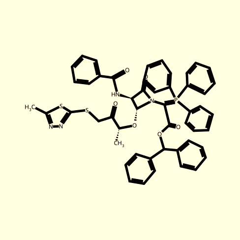 Cc1nnc(SCC(=O)[C@@H](C)O[C@@H]2[C@@H](NC(=O)c3ccccc3)C(=O)N2C(C(=O)OC(c2ccccc2)c2ccccc2)=P(c2ccccc2)(c2ccccc2)c2ccccc2)s1